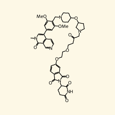 COc1cc(-c2cn(C)c(=O)c3cnccc23)cc(OC)c1CN1CCC(OC2CCN(CC(=O)CCOCCOc3ccc4c(c3)C(=O)N(C3CCC(=O)NC3=O)C4=O)C2)CC1